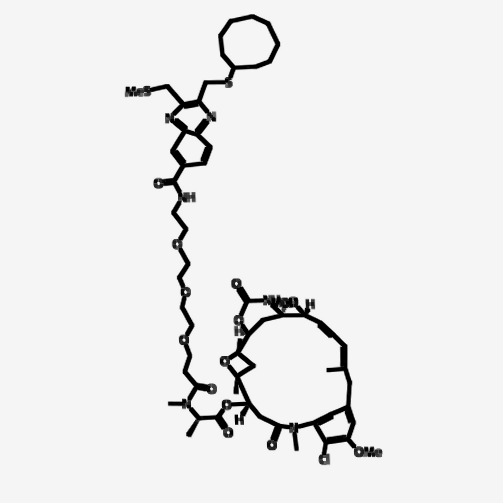 COc1cc2cc(c1Cl)N(C)C(=O)C[C@H](OC(=O)[C@@H](C)N(C)C(=O)CCOCCOCCOCCNC(=O)c1ccc3nc(CSC4CCCCCCCC4)c(CSC)nc3c1)[C@@]1(C)C[C@](C)(O1)[C@@H]1C[C@@](O)(NC(=O)O1)[C@H](OC)/C=C/C=C(\C)C2